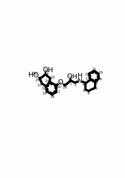 OC(CNC1CCCc2ccccc21)COc1cccc2c1C[C@H](O)[C@@H](O)C2